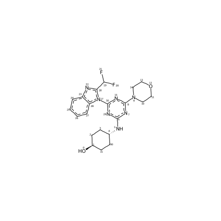 O[C@H]1CC[C@H](Nc2nc(N3CCOCC3)nc(-n3c(C(F)F)nc4ccccc43)n2)CC1